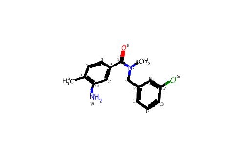 Cc1ccc(C(=O)N(C)Cc2cccc(Cl)c2)cc1N